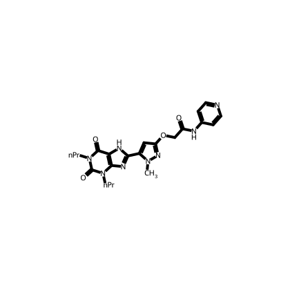 CCCn1c(=O)c2[nH]c(-c3cc(OCC(=O)Nc4ccncc4)nn3C)nc2n(CCC)c1=O